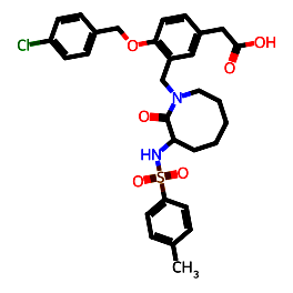 Cc1ccc(S(=O)(=O)NC2CCCCCN(Cc3cc(CC(=O)O)ccc3OCc3ccc(Cl)cc3)C2=O)cc1